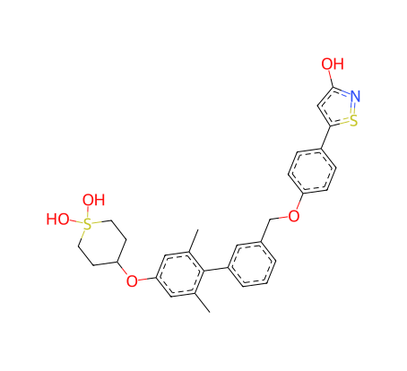 Cc1cc(OC2CCS(O)(O)CC2)cc(C)c1-c1cccc(COc2ccc(-c3cc(O)ns3)cc2)c1